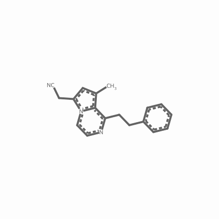 Cc1cc(CC#N)n2ccnc(CCc3ccccc3)c12